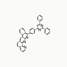 c1ccc(-c2cc(-c3ccc(-c4nc5nc6c(ccc7cccnc76)cc5c5ccccc45)cc3)nc(-c3ccccc3)n2)cc1